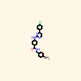 Bc1ccc(CNC(=O)c2ccc(Nc3nccc(-c4ccc(Cl)cc4)n3)cc2)cc1